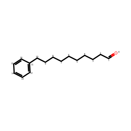 O=CCCCCCCCCCc1ccccc1